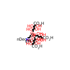 CCCCCCCCCC[N+](C)(CCCCCCCCCC)CCC[Si](OC[C@@H](O)[C@@H](O)[C@H](O)[C@@H](O)C(=O)O)(OC[C@@H](O)[C@@H](O)[C@H](O)[C@@H](O)C(=O)O)OC[C@@H](O)[C@@H](O)[C@H](O)[C@@H](O)C(=O)O